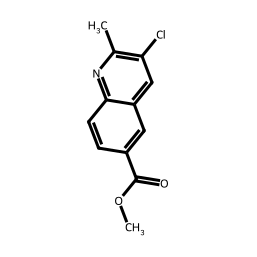 COC(=O)c1ccc2nc(C)c(Cl)cc2c1